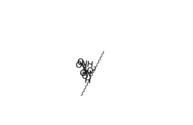 CCCCCCCCCCCCCCC(CCCCCCCCCCCCCC)C(=O)N[C@@H](CSSCC(N)C(=O)OC)C(=O)OC